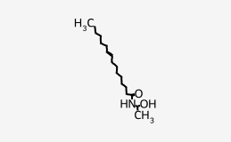 CCCCCCC=CCCCCCCCC(=O)NC(C)O